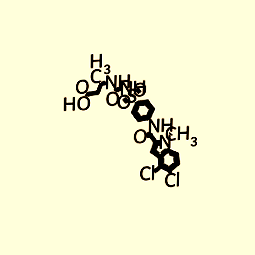 CC(CC(=O)O)NC(=O)NS(=O)(=O)c1ccc(NC(=O)c2cc3c(Cl)c(Cl)ccc3n2C)cc1